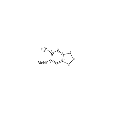 CNc1cc2c(cc1P)CCC2